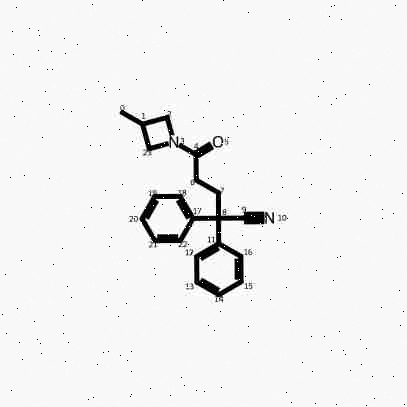 CC1CN(C(=O)CCC(C#N)(c2ccccc2)c2ccccc2)C1